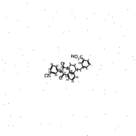 O=C(O)c1cccc(CN2CCn3c(=O)n(-c4cccc(Cl)c4)c(=O)c4cccc2c43)c1